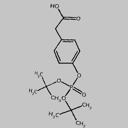 CC(C)(C)OP(=O)(Oc1ccc(CC(=O)O)cc1)OC(C)(C)C